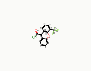 O=C(Cl)C1c2ccccc2Oc2c1cccc2C(F)(F)F